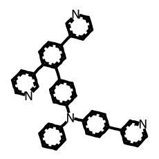 c1ccc(N(c2ccc(-c3cccnc3)cc2)c2ccc(-c3cc(-c4cccnc4)ccc3-c3cccnc3)cc2)cc1